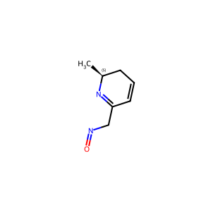 C[C@H]1CC=CC(CN=O)=N1